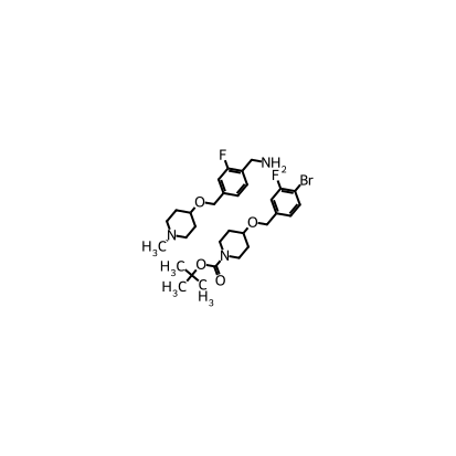 CC(C)(C)OC(=O)N1CCC(OCc2ccc(Br)c(F)c2)CC1.CN1CCC(OCc2ccc(CN)c(F)c2)CC1